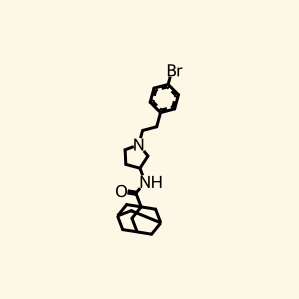 O=C(NC1CCN(CCc2ccc(Br)cc2)C1)C12CC3CC(CC(C3)C1)C2